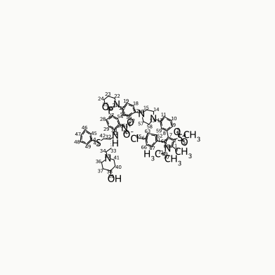 Cc1c(S(C)(=O)=O)c(-c2cccc(N3CCN(c4ccc(N5CCCO[P@@]5c5ccc(N[C@H](CCN6CCC(O)CC6)CSc6ccccc6)c([N+](=O)[O-])c5)cc4)CC3)c2)c(-c2ccc(Cl)cc2)n1C(C)C